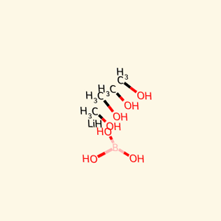 CO.CO.CO.CO.OB(O)O.[LiH]